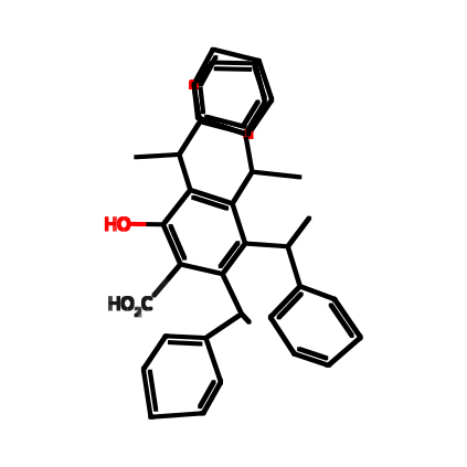 CC(c1ccccc1)c1c(O)c(C(=O)O)c(C(C)c2ccccc2)c(C(C)c2ccccc2)c1C(C)c1ccccc1